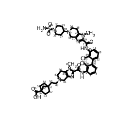 Cn1c(C(=O)Nc2cccc(-c3cccc(NC(=O)c4nc5c(n4C)CCN(C4CCN(S(N)(=O)=O)CC4)C5)c3Cl)c2Cl)nc2c1CCN(CCC13CCC(C(=O)O)(CC1)C3)C2